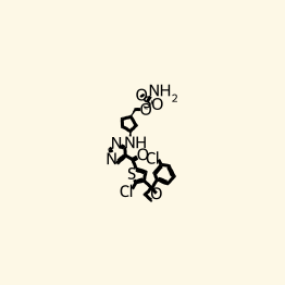 NS(=O)(=O)OC[C@@H]1CC[C@H](Nc2ncncc2C(=O)c2cc(C3(c4cccc(Cl)c4)CCO3)c(Cl)s2)C1